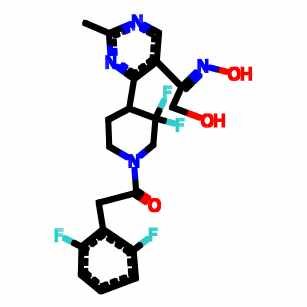 Cc1ncc(/C(CO)=N/O)c(C2CCN(C(=O)Cc3c(F)cccc3F)CC2(F)F)n1